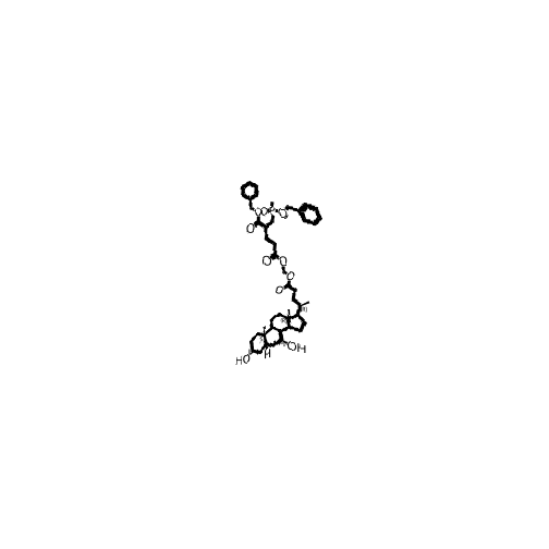 C[C@H](CCC(=O)OCOC(=O)CCC(CP(C)(=O)OCc1ccccc1)C(=O)OCc1ccccc1)C1CCC2C3C(CC[C@@]21C)[C@@]1(C)CC[C@@H](O)C[C@H]1C[C@@H]3O